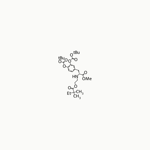 CCC(C)(C)C(=O)OCCN[C@@H](Cc1ccc(OC(=O)OC(C)(C)C)c(OC(=O)OC(C)(C)C)c1)C(=O)OC